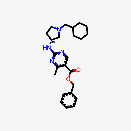 Cc1nc(N[C@@H]2CCN(CC3CCCCC3)C2)ncc1C(=O)OCc1ccccc1